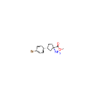 COC(=O)[C@@]1(N)CC[C@@H](c2ccc(Br)cc2)C1